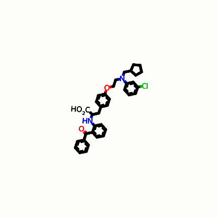 O=C(c1ccccc1)c1ccccc1NC(Cc1ccc(OCCN(CC2CCCC2)c2cccc(Cl)c2)cc1)C(=O)O